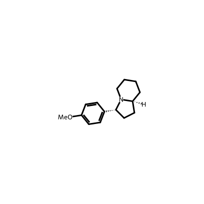 COc1ccc([C@H]2CC[C@@H]3CCCCN32)cc1